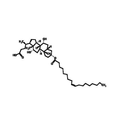 CCCCCCCC/C=C\CCCCCCCC(=O)O[C@@H]1CC[C@@]2(C)[C@@H](C1)C[C@@H](O)[C@@H]1[C@@H]2C[C@H](O)[C@]2(C)[C@@H]([C@H](C)CCC(=O)O)CC[C@@H]12